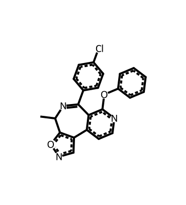 CC1N=C(c2ccc(Cl)cc2)c2c(ccnc2Oc2ccccc2)-c2cnoc21